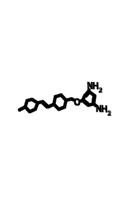 CC1CCC(/C=C/C2CCC(COc3cc(N)cc(N)c3)CC2)CC1